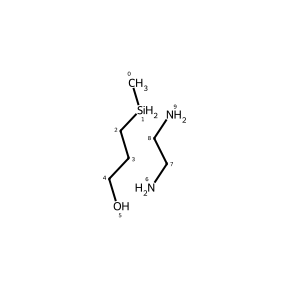 C[SiH2]CCCO.NCCN